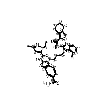 CCn1nc(C)cc1C(=O)Nc1nc2cc(C(N)=O)ccc2n1CCCCn1c(NC(=O)c2onc3c2CCCC3)nc2cccc(C)c21